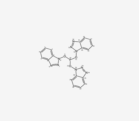 c1ccc2c(c1)nnn2OP(On1nnc2ccccc21)On1nnc2ccccc21